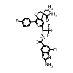 CC[C@]1(C(N)=O)COc2c1cc([C@@H](CNC(=O)c1cc(Cl)c3nc(N)sc3c1)C(F)(F)F)nc2-c1ccc(F)cc1